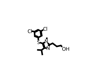 CC(C)c1nc(CCCO)n(C)c1Sc1cc(Cl)cc(Cl)c1